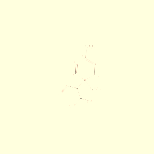 C=CC(C(C(C)=O)C(C)=O)C1(NC)C=CC(NC)=CC1